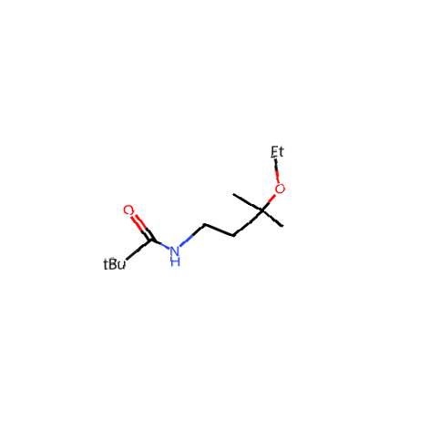 CCOC(C)(C)CCNC(=O)C(C)(C)C